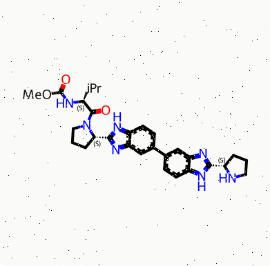 COC(=O)N[C@H](C(=O)N1CCC[C@H]1c1nc2cc(-c3ccc4[nH]c([C@@H]5CCCN5)nc4c3)ccc2[nH]1)C(C)C